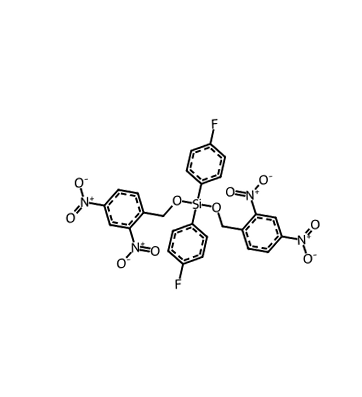 O=[N+]([O-])c1ccc(CO[Si](OCc2ccc([N+](=O)[O-])cc2[N+](=O)[O-])(c2ccc(F)cc2)c2ccc(F)cc2)c([N+](=O)[O-])c1